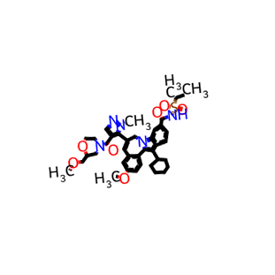 CCC(C)S(=O)(=O)NC(=O)c1ccc2c(C3CCCCC3)c3n(c2c1)CC(c1c(C(=O)N2CCOC(COC)C2)cnn1C)=Cc1cc(OC)ccc1-3